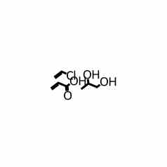 C=CC(=O)O.C=CCl.CC(O)CO